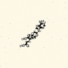 Nc1ncnc2c1ncn2C[C@H]1COP(=O)(N[C@@H](CCC(=O)O)C(=O)O)CO1